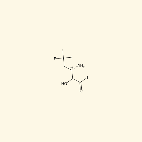 CC(F)(I)C[C@H](N)C(O)C(=O)I